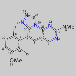 CNc1ncc2cc(-c3c(C)ccc(OC)c3C)c3nncn3c2n1